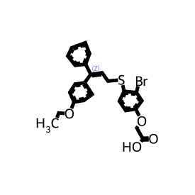 CCOc1ccc(/C(=C\CSc2ccc(OCC(=O)O)cc2Br)c2ccccc2)cc1